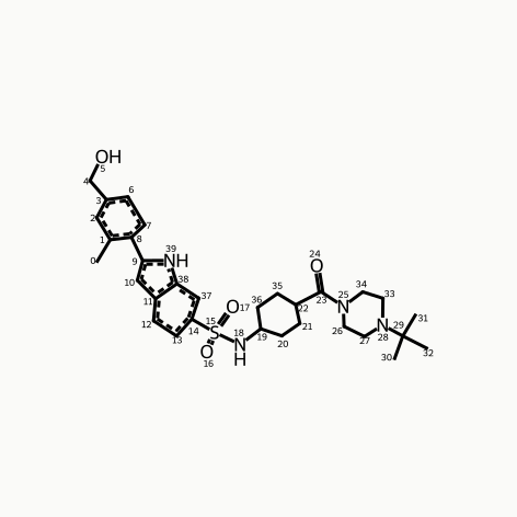 Cc1cc(CO)ccc1-c1cc2ccc(S(=O)(=O)NC3CCC(C(=O)N4CCN(C(C)(C)C)CC4)CC3)cc2[nH]1